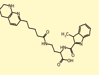 CC1C(C(=O)NC(CCNC(=O)CCCCc2ccc3c(n2)NCCC3)C(=O)O)=Nc2ccccc21